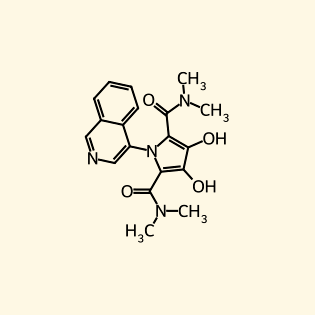 CN(C)C(=O)c1c(O)c(O)c(C(=O)N(C)C)n1-c1cncc2ccccc12